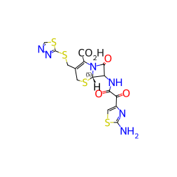 Nc1nc(C(=O)C(=O)NC2C(=O)N3C(C(=O)O)=C(CSc4nncs4)CS[C@@H]23)cs1